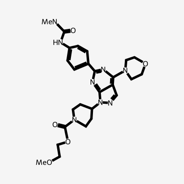 CNC(=O)Nc1ccc(-c2nc(N3CCOCC3)c3cnn(C4CCN(C(=O)OCCOC)CC4)c3n2)cc1